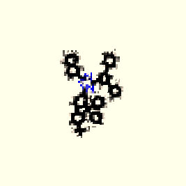 CC(C)(C)c1ccc2c(c1)C(c1ccccc1)(c1ccccc1)c1cc(-c3nc(-c4cc(-c5ccccc5)cc(-c5ccccc5)c4)nc(-c4ccc5ccccc5c4)n3)ccc1-2